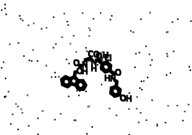 O=C(NC[C@H](NC(=O)c1ccc(C(=O)NCc2cccc(O)c2)cc1Cl)C(=O)O)OCC1c2ccccc2-c2ccccc21